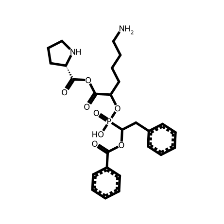 NCCCCC(OP(=O)(O)C(Cc1ccccc1)OC(=O)c1ccccc1)C(=O)OC(=O)[C@@H]1CCCN1